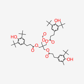 Cc1cc(CCC(=O)OCC(COC=O)(COC(=O)CCc2cc(C(C)(C)C)c(O)c(C(C)(C)C)c2)COC(=O)CCc2cc(C(C)(C)C)c(O)c(C(C)(C)C)c2)cc(C(C)(C)C)c1O